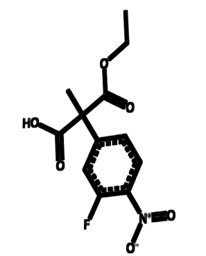 CCOC(=O)C(C)(C(=O)O)c1ccc([N+](=O)[O-])c(F)c1